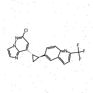 FC(F)(F)c1ccc2cc([C@H]3C[C@@H]3c3cc(Cl)nn4ccnc34)ccc2n1